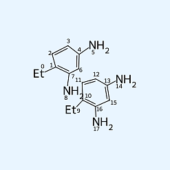 CCc1ccc(N)cc1N.CCc1ccc(N)cc1N